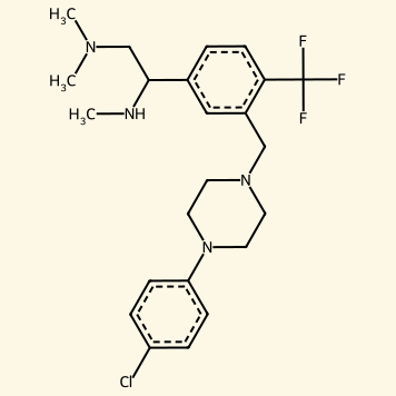 CNC(CN(C)C)c1ccc(C(F)(F)F)c(CN2CCN(c3ccc(Cl)cc3)CC2)c1